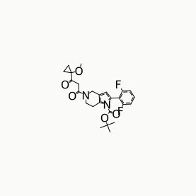 COC1(C(=O)CC(=O)N2CCc3c(cc(-c4c(F)cccc4F)n3C(=O)OC(C)(C)C)C2)CC1